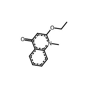 CCOc1cc(=O)c2ccccc2n1C